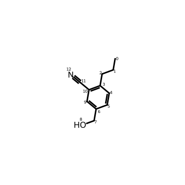 CCCc1ccc(CO)cc1C#N